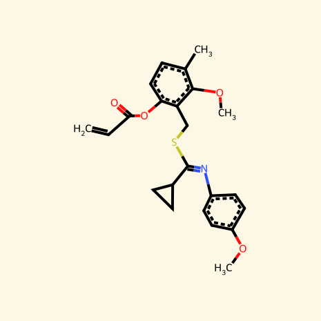 C=CC(=O)Oc1ccc(C)c(OC)c1CSC(=Nc1ccc(OC)cc1)C1CC1